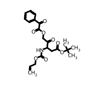 C=CCOC(=O)NC(CC(=O)OC(C)(C)C)C(=O)COC(=O)C(=O)c1ccccc1